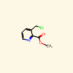 COC(=O)c1ncccc1CCl